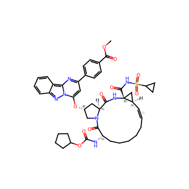 COC(=O)c1ccc(-c2cc(O[C@@H]3C[C@H]4C(=O)N[C@]5(C(=O)NS(=O)(=O)C6CC6)C[C@H]5/C=C\CCCCC[C@H](NC(=O)OC5CCCC5)C(=O)N4C3)n3nc4ccccc4c3n2)cc1